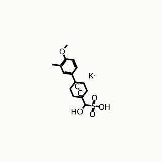 COc1ccc(C23CCC(C(O)S(=O)(=O)O)(CC2)CC3)cc1C.[K]